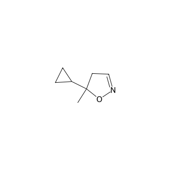 CC1(C2CC2)CC=NO1